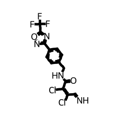 N=C/C(Cl)=C(/Cl)C(=O)NCc1ccc(-c2noc(C(F)(F)F)n2)cc1